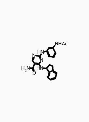 CC(=O)Nc1cccc(Nc2ncc(C(N)=O)c(NC3CCc4ccccc43)n2)c1